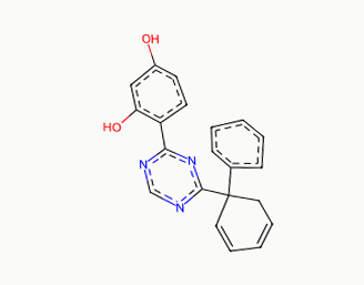 Oc1ccc(-c2ncnc(C3(c4ccccc4)C=CC=CC3)n2)c(O)c1